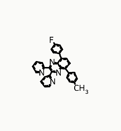 Cc1ccc(-c2ccc(-c3ccc(F)cc3)c3nc(-c4ccccn4)c(-c4ccccn4)nc23)cc1